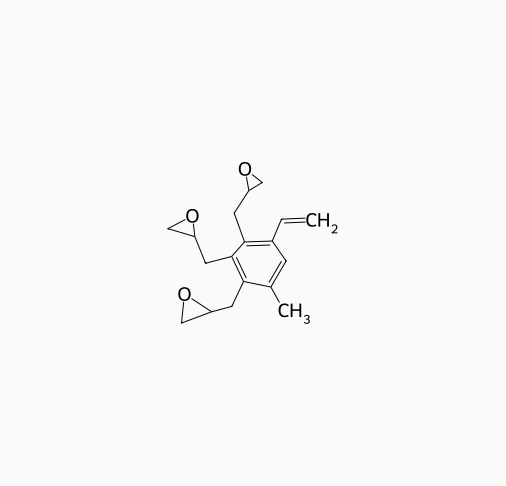 C=Cc1cc(C)c(CC2CO2)c(CC2CO2)c1CC1CO1